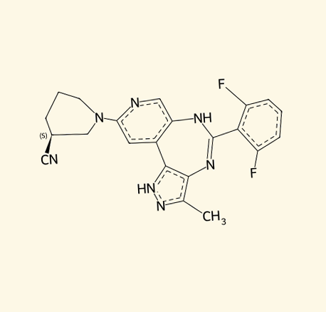 Cc1n[nH]c2c1N=C(c1c(F)cccc1F)Nc1cnc(N3CCC[C@H](C#N)C3)cc1-2